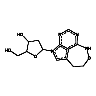 OCC1OC(n2cc3c4c(ncnc42)NOCC3)CC1O